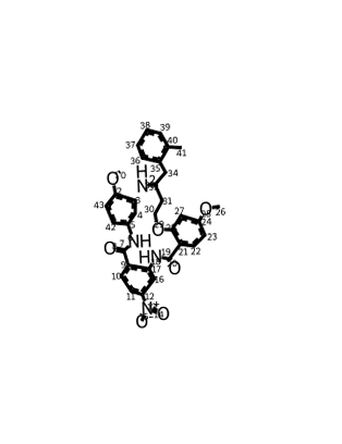 COc1ccc(NC(=O)c2ccc([N+](=O)[O-])cc2NC(=O)c2ccc(OC)cc2OCCC(N)Cc2ccccc2C)cc1